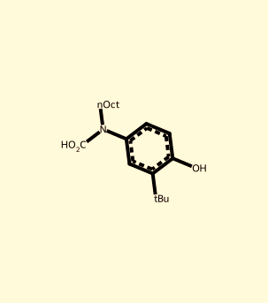 CCCCCCCCN(C(=O)O)c1ccc(O)c(C(C)(C)C)c1